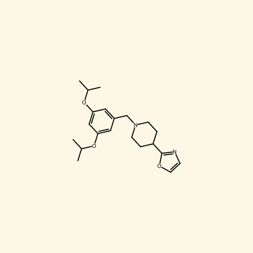 CC(C)Oc1cc(CN2CCC(c3ncco3)CC2)cc(OC(C)C)c1